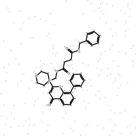 O=C(CCC(=O)OC[N+]1(c2cc(=O)c3cccc(-c4ccccc4)c3o2)CCOCC1)OCc1ccccc1